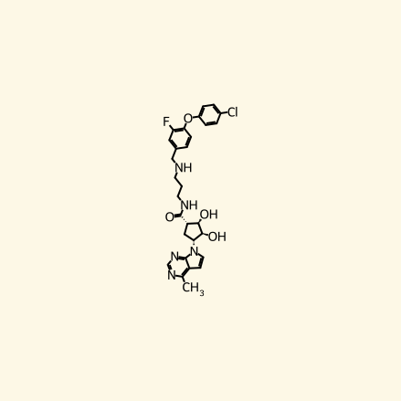 Cc1ncnc2c1ccn2[C@@H]1C[C@H](C(=O)NCCCNCc2ccc(Oc3ccc(Cl)cc3)c(F)c2)[C@@H](O)[C@H]1O